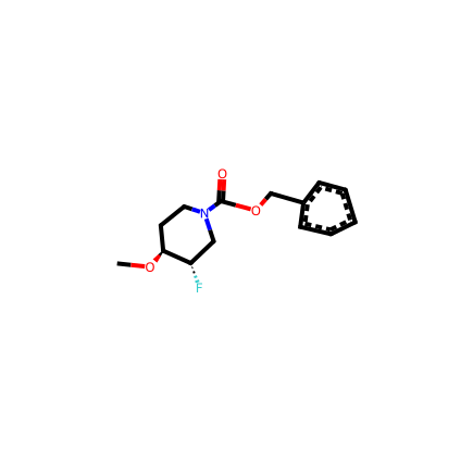 CO[C@H]1CCN(C(=O)OCc2ccccc2)C[C@@H]1F